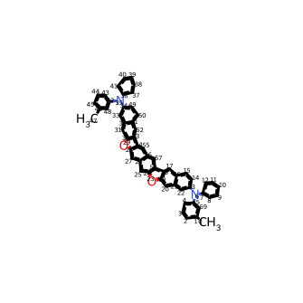 Cc1cccc(N(c2ccccc2)c2ccc3cc4c(cc3c2)oc2cc3cc5oc6cc7cc(N(c8ccccc8)c8cccc(C)c8)ccc7cc6c5cc3cc24)c1